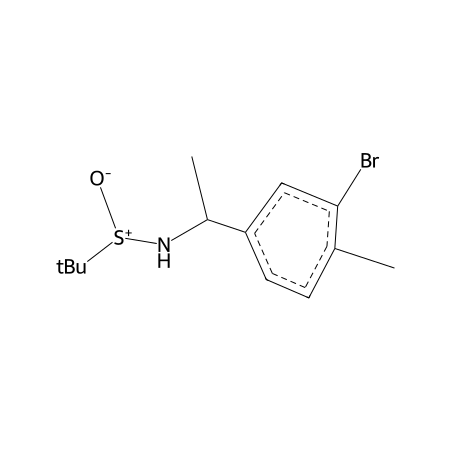 Cc1ccc(C(C)N[S+]([O-])C(C)(C)C)cc1Br